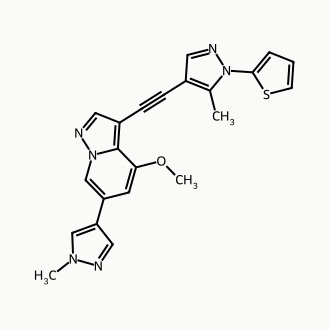 COc1cc(-c2cnn(C)c2)cn2ncc(C#Cc3cnn(-c4cccs4)c3C)c12